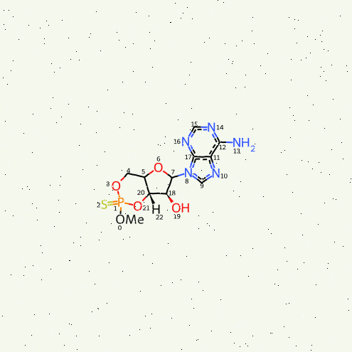 COP1(=S)OCC2OC(n3cnc4c(N)ncnc43)[C@@H](O)[C@@H]2O1